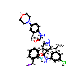 COc1cc(N2CCOCC2)ccc1NC(=O)[C@@H]1N[C@@H](CC(C)(C)C)[C@@]2(C(=O)Nc3cc(Cl)ccc32)[C@H]1c1cccc(CI)c1F